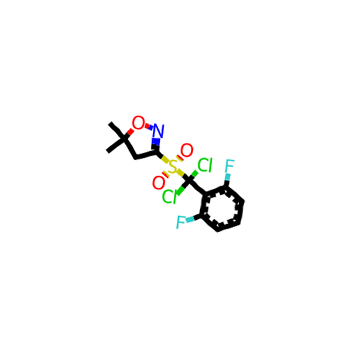 CC1(C)CC(S(=O)(=O)C(Cl)(Cl)c2c(F)cccc2F)=NO1